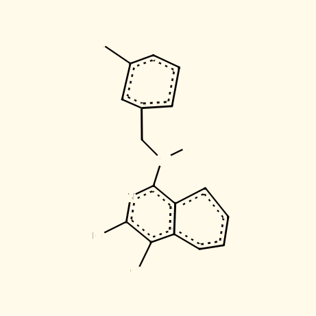 [O-][S+](Cc1cccc(Cl)c1)c1nc(O)c(Cl)c2ccccc12